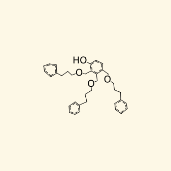 Oc1ccc(COCCCc2ccccc2)c(COCCCc2ccccc2)c1COCCCc1ccccc1